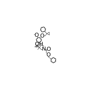 COc1ccc(C2CN(C(=O)COCc3ccccc3)CC2(C)[C@@H](C)O)cc1OCC1(c2ccccc2)CC1